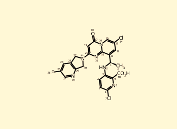 C[C@@H](Nc1ccc(Cl)nc1C(=O)O)c1cc(Cl)cn2c(=O)cc(N3Cc4cc(F)cnc4C3)nc12